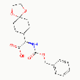 O=C(N[C@@H](C(=O)O)C1CCC2(CC1)OCCO2)OCc1ccccc1